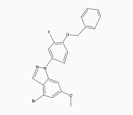 COc1cc(Br)c2cnn(-c3ccc(OCc4ccccc4)c(F)c3)c2c1